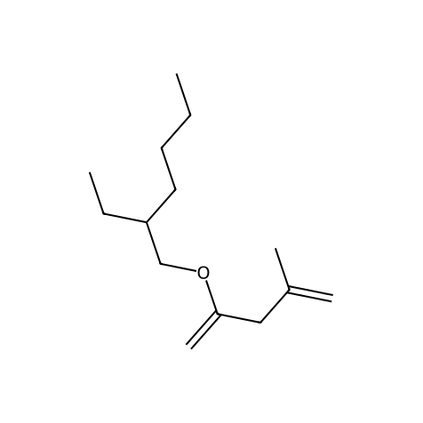 C=C(C)CC(=C)OCC(CC)CCCC